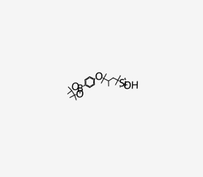 CC(CC(C)(C)[Si](C)(C)O)C(C)(C)Oc1ccc(B2OC(C)(C)C(C)(C)O2)cc1